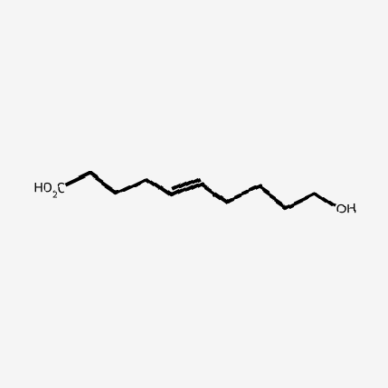 O=C(O)CCCC=CCCCCO